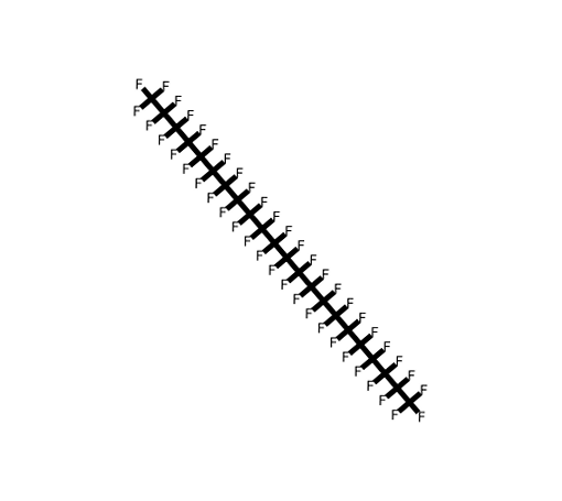 FC(F)(F)C(F)(F)C(F)(F)C(F)(F)C(F)(F)C(F)(F)C(F)(F)C(F)(F)C(F)(F)C(F)(F)C(F)(F)C(F)(F)C(F)(F)C(F)(F)C(F)(F)C(F)(F)C(F)(F)C(F)(F)C(F)(F)C(F)(F)C(F)(F)C(F)(F)F